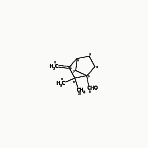 C=C1C2CCC(C=O)(C2)C1(C)C